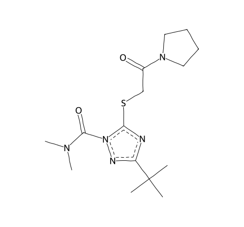 CN(C)C(=O)n1nc(C(C)(C)C)nc1SCC(=O)N1CCCC1